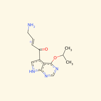 CC(C)Oc1ncnc2[nH]cc(C(=O)/C=C/CN)c12